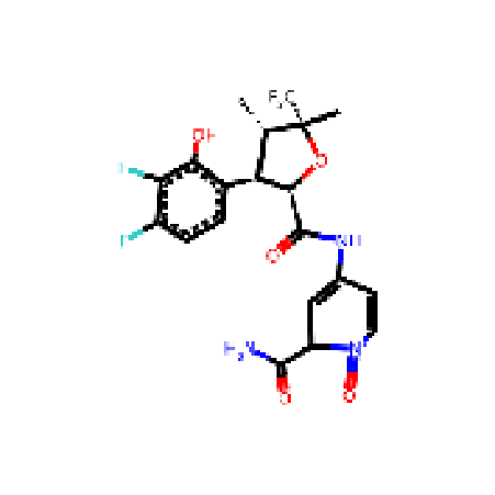 C[C@H]1[C@H](c2ccc(F)c(F)c2O)[C@H](C(=O)NC2=CC(C(N)=O)[N+](=O)C=C2)O[C@@]1(C)C(F)(F)F